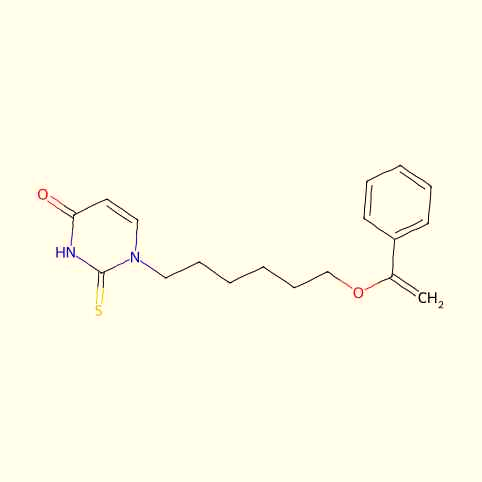 C=C(OCCCCCCn1ccc(=O)[nH]c1=S)c1ccccc1